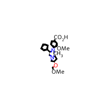 COCO[C@H]1CCN(C[C@H](c2ccccc2)N(C)c2ccc(C(=O)O)cc2OC)C1